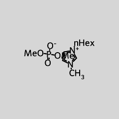 CCCCCC[n+]1ccn(C)c1.COP(=O)([O-])OC